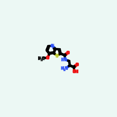 COc1ccnc2cc(C(=O)NCC(N)C(=O)O)sc12